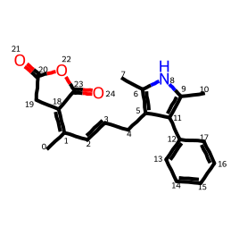 CC(/C=C/Cc1c(C)[nH]c(C)c1-c1ccccc1)=C1CC(=O)OC1=O